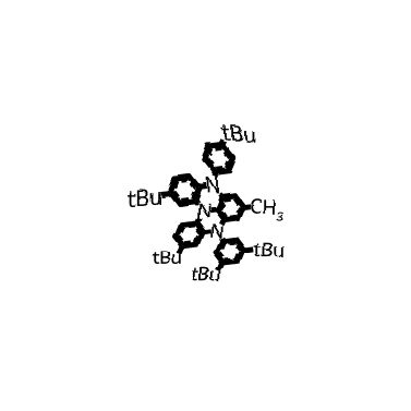 Cc1cc2c3c(c1)N(c1ccc(C(C)(C)C)cc1)c1ccc(C(C)(C)C)cc1N3c1ccc(C(C)(C)C)cc1N2c1cc(C(C)(C)C)cc(C(C)(C)C)c1